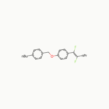 CCCCc1ccc(COc2ccc(/C(F)=C(\F)CCC)cc2)cc1